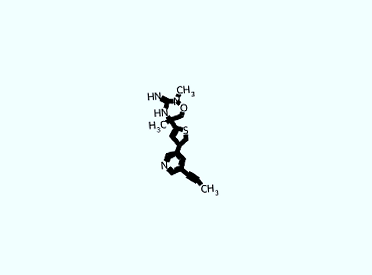 CC#Cc1cncc(C2C=C(C3(C)CON(C)C(=N)N3)SC2)c1